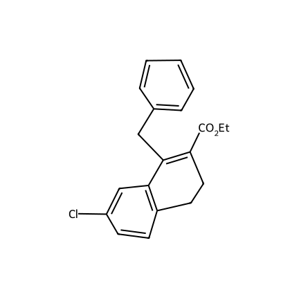 CCOC(=O)C1=C(Cc2ccccc2)c2cc(Cl)ccc2CC1